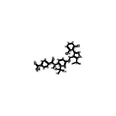 CC(C)c1onc(-c2c(Cl)cccc2Cl)c1COc1ccc(N(C)C(=O)c2ccc(C(=O)O)cc2)c(C(F)(F)F)n1